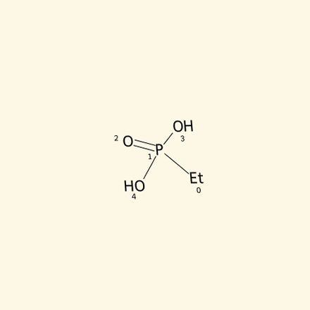 [CH]CP(=O)(O)O